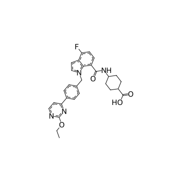 CCOc1nccc(-c2ccc(Cn3ccc4c(F)ccc(C(=O)NC5CCC(C(=O)O)CC5)c43)cc2)n1